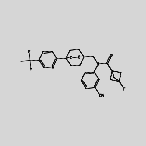 CC(F)(F)c1ccc(C23CCC(CN(C(=O)C45CC(F)(C4)C5)c4cccc(C#N)c4)(CC2)CC3)nc1